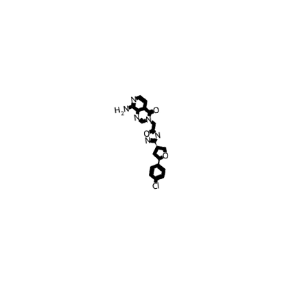 NC1=NC=CC2C(=O)N(Cc3nc([C@@H]4CO[C@@H](c5ccc(Cl)cc5)C4)no3)C=NC12